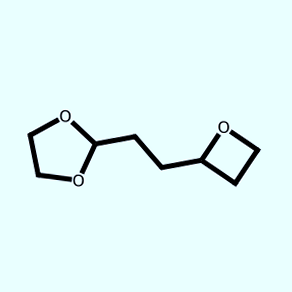 C1CC(CCC2OCCO2)O1